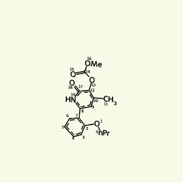 CCCOc1ccccc1-c1cc(C)c(OC(=O)OC)c(=O)[nH]1